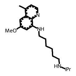 COc1cc(NCCCCCCNC(C)C)c2nccc(C)c2c1